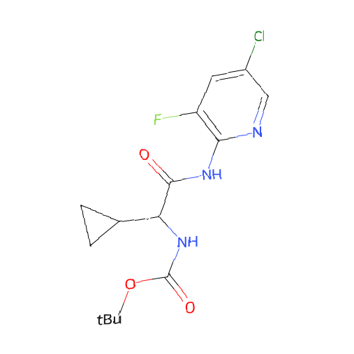 CC(C)(C)OC(=O)NC(C(=O)Nc1ncc(Cl)cc1F)C1CC1